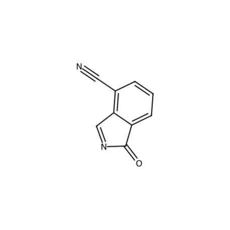 N#Cc1cccc2c1C=NC2=O